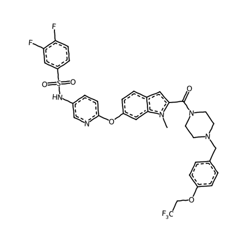 Cn1c(C(=O)N2CCN(Cc3ccc(OCC(F)(F)F)cc3)CC2)cc2ccc(Oc3ccc(NS(=O)(=O)c4ccc(F)c(F)c4)cn3)cc21